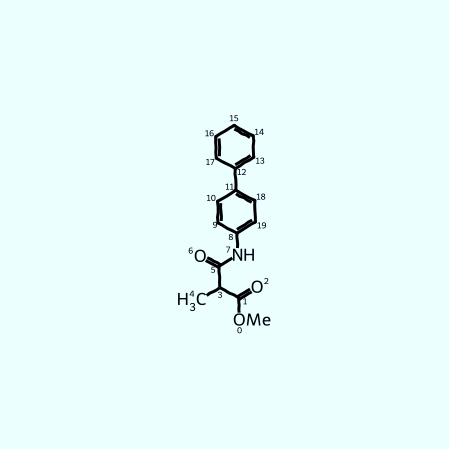 COC(=O)C(C)C(=O)Nc1ccc(-c2ccccc2)cc1